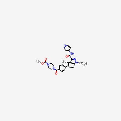 CC(C)(C)OC(=O)N1CCN(C(=O)c2ccc(-c3ccc4c(c(C(=O)Nc5ccncc5)nn4C(=O)O)c3C(C)(C)C)cc2)CC1